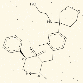 C[C@@H]1NC[C@@H](c2ccccc2)S(=O)(=O)C1Cc1ccc(C2(NCCO)CCOCC2)cc1F